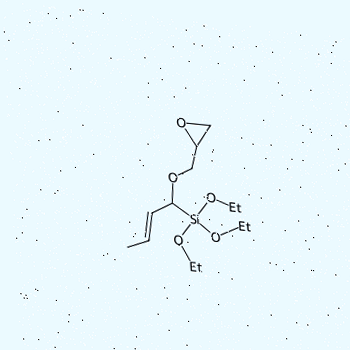 CC=CC(OCC1CO1)[Si](OCC)(OCC)OCC